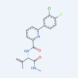 C=C(C)[C@H](NC(=O)c1cccc(-c2ccc(F)c(Cl)c2)n1)C(=O)NC